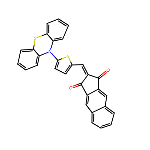 O=C1C(=Cc2ccc(N3c4ccccc4Sc4ccccc43)s2)C(=O)c2cc3ccccc3cc21